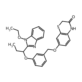 CCOn1c(C(CC)Oc2cccc(COc3ccc4c(c3)SCC(=O)N4)c2)nc2ccccc21